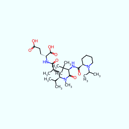 C/C(=C\[C@H](C(C)C)N(C)C(=O)[C@H](NC(=O)[C@H]1CCCCN1C(C)C)C(C)(C)C)C(=O)N[C@H](CCC(=O)O)C(=O)O